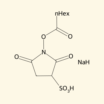 CCCCCCC(=O)ON1C(=O)CC(S(=O)(=O)O)C1=O.[NaH]